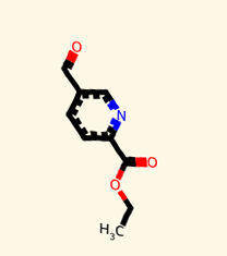 CCOC(=O)c1ccc(C=O)cn1